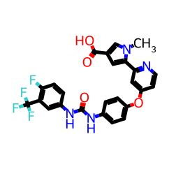 Cn1cc(C(=O)O)cc1-c1cc(Oc2ccc(NC(=O)Nc3ccc(F)c(C(F)(F)F)c3)cc2)ccn1